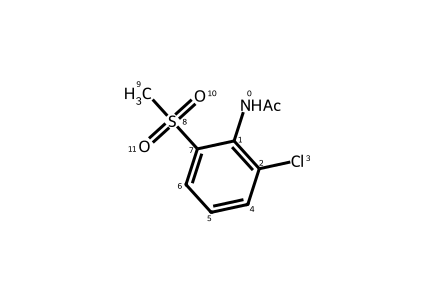 CC(=O)Nc1c(Cl)cccc1S(C)(=O)=O